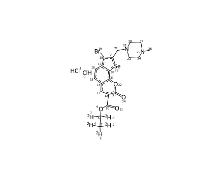 Cl.Cl.[2H]C([2H])([2H])C([2H])([2H])OC(=O)c1cc2ccc3c(Br)c(CN4CCN(C)CC4)[se]c3c2oc1=O